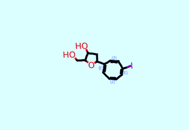 OCC1OC(C2=C/C=C\C=C(I)/C=C\2)CC1O